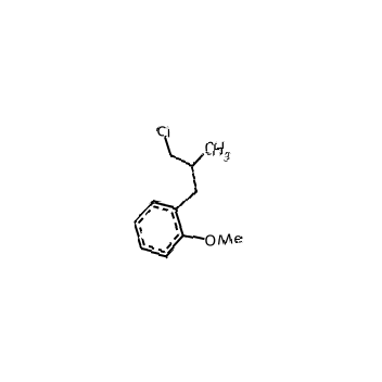 COc1ccccc1CC(C)CCl